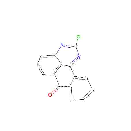 O=C1c2ccccc2-c2nc(Cl)nc3cccc1c23